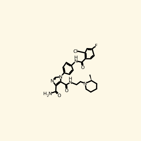 C[C@H]1CCCCN1CCNC(=O)c1c(C(N)=O)ncn1-c1ccc(NC(=O)c2ccc(F)cc2Cl)cc1